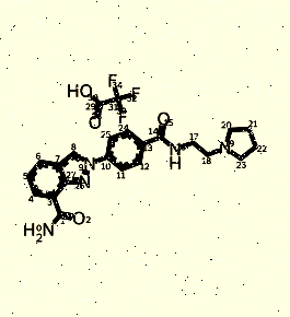 NC(=O)c1cccc2cn(-c3ccc(C(=O)NCCN4CCCC4)cc3)nc12.O=C(O)C(F)(F)F